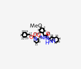 COc1ccc(C(NC(=O)[C@@H]2CCCN2C(=O)OCc2ccccc2)C(=O)Nc2cc3n(n2)CCCC3)cc1